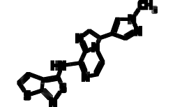 Cn1cc(C2CN=C3C(Nc4snc5sccc45)=NC=CN32)cn1